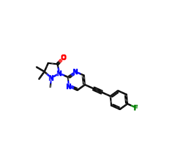 CN1N(c2ncc(C#Cc3ccc(F)cc3)cn2)C(=O)CC1(C)C